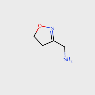 NCC1=NOCC1